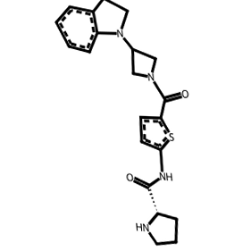 O=C(Nc1ccc(C(=O)N2CC(N3CCc4ccccc43)C2)s1)[C@@H]1CCCN1